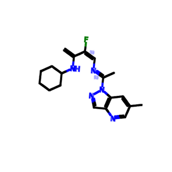 C=C(NC1CCCCC1)/C(F)=C\N=C(/C)n1ncc2ncc(C)cc21